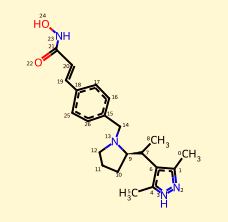 Cc1n[nH]c(C)c1C(C)[C@H]1CCCN1Cc1ccc(/C=C/C(=O)NO)cc1